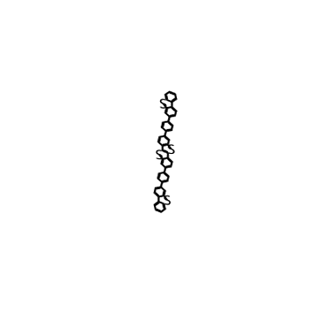 c1ccc2c(c1)sc1cc(-c3ccc(-c4ccc5c(c4)sc4c6ccc(-c7ccc(-c8ccc9c(c8)sc8ccccc89)cc7)cc6sc54)cc3)ccc12